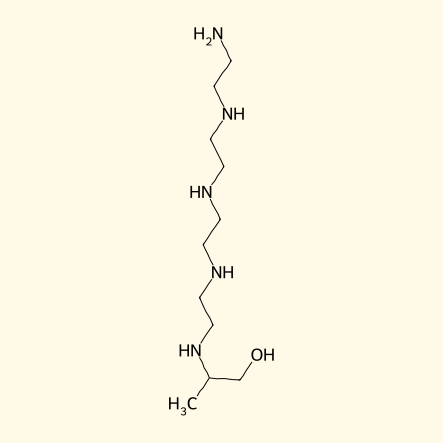 CC(CO)NCCNCCNCCNCCN